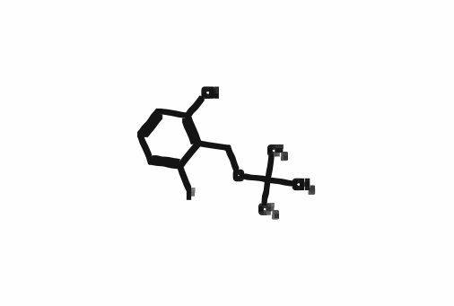 CC(OCc1c(F)cccc1C#N)(C(F)(F)F)C(F)(F)F